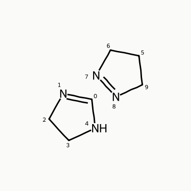 C1=NCCN1.C1CN=NC1